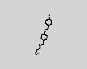 OCCN=Cc1ccc(OCc2ccc(F)cc2)cc1